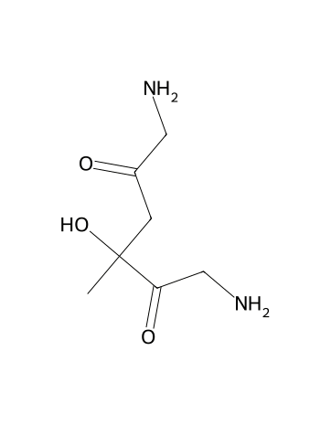 CC(O)(CC(=O)CN)C(=O)CN